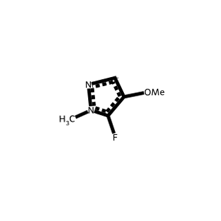 COc1[c]nn(C)c1F